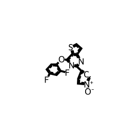 [O-][n+]1ccc(-c2nc(Oc3ccc(F)cc3F)c3sccc3n2)cc1